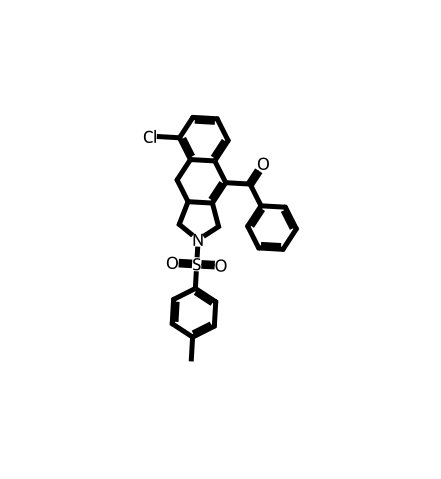 Cc1ccc(S(=O)(=O)N2CC3=C(C(=O)c4ccccc4)c4cccc(Cl)c4CC3C2)cc1